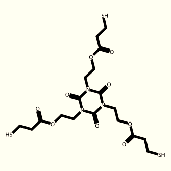 O=C(CCS)OCCn1c(=O)n(CCOC(=O)CCS)c(=O)n(CCOC(=O)CCS)c1=O